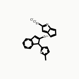 CCC1=NC2=CC=CC2=C1.Cc1ccc(C2[C]([Zr+2])=Cc3ccccc32)s1.[Cl-].[Cl-]